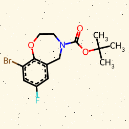 CC(C)(C)OC(=O)N1CCOc2c(Br)cc(F)cc2C1